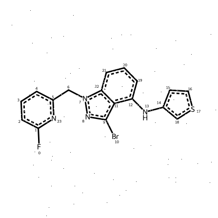 Fc1cccc(Cn2nc(Br)c3c(Nc4ccsc4)cccc32)n1